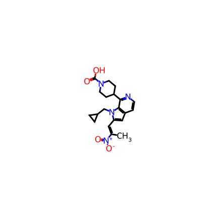 CC(=Cc1cc2ccnc(C3CCN(C(=O)O)CC3)c2n1CC1CC1)[N+](=O)[O-]